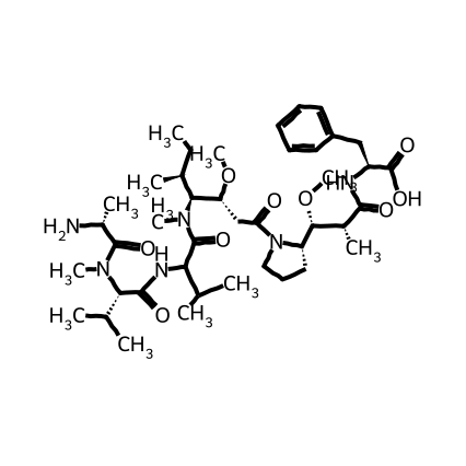 CC[C@H](C)[C@@H]([C@@H](CC(=O)N1CCC[C@H]1[C@H](OC)[C@@H](C)C(=O)N[C@@H](Cc1ccccc1)C(=O)O)OC)N(C)C(=O)C(NC(=O)[C@H](C(C)C)N(C)C(=O)[C@@H](C)N)C(C)C